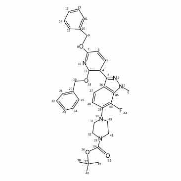 Cn1nc(-c2ccc(OCc3ccccc3)nc2OCc2ccccc2)c2ccc(N3CCN(C(=O)OC(C)(C)C)CC3)c(F)c21